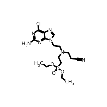 CCOP(=O)(CCN(CCC#N)CCn1cnc2c(Cl)nc(N)nc21)OCC